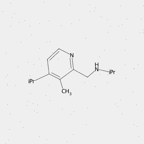 Cc1c(C(C)C)ccnc1CNC(C)C